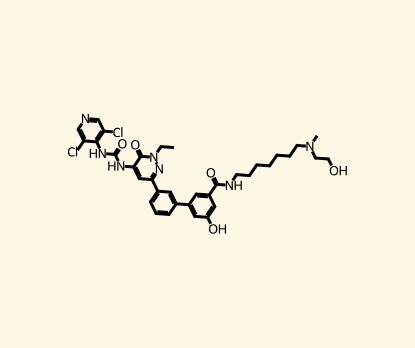 CCn1nc(-c2cccc(-c3cc(O)cc(C(=O)NCCCCCCCN(C)CCO)c3)c2)cc(NC(=O)Nc2c(Cl)cncc2Cl)c1=O